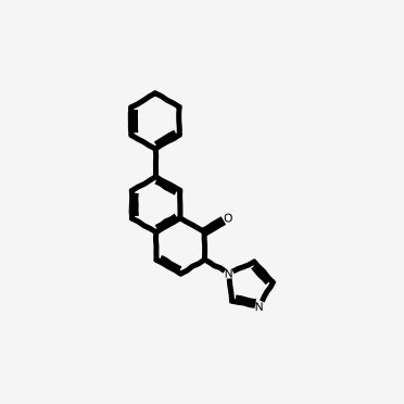 O=C1c2cc(C3=CCCC=C3)ccc2C=CC1n1ccnc1